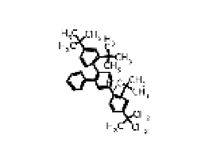 CC(C)(C)c1ccc(-c2ccc(-c3ccc(C(C)(C)C)cc3C(C)(C)C)c(-c3ccccc3)c2)c(C(C)(C)C)c1